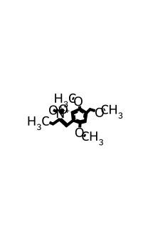 CCC(=Cc1cc(OC)c(COC)cc1OC)[N+](=O)[O-]